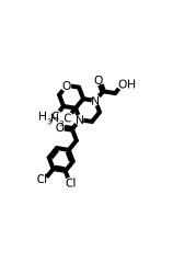 CC1COCC2N(C(=O)CO)CCN(C(=O)Cc3ccc(Cl)c(Cl)c3)C12C